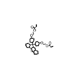 C=CC(=O)OCCOc1ccc(C2(c3ccc(OCCOC(=O)C=C)cc3)c3ccccc3-c3nc4ccccc4cc32)cc1